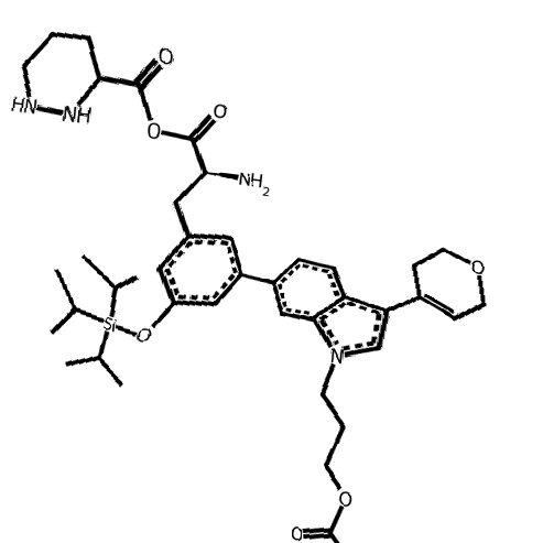 CC(=O)OCCCn1cc(C2=CCOCC2)c2ccc(-c3cc(C[C@H](N)C(=O)OC(=O)C4CCCNN4)cc(O[Si](C(C)C)(C(C)C)C(C)C)c3)cc21